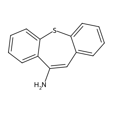 NC1=Cc2ccccc2Sc2ccccc21